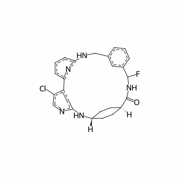 O=C1NC(F)c2cccc(c2)CNc2cccc(n2)-c2cc(ncc2Cl)N[C@H]2CC[C@H]1CC2